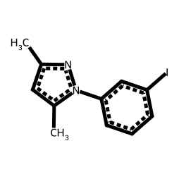 Cc1cc(C)n(-c2cccc(I)c2)n1